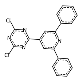 Clc1nc(Cl)nc(-c2cc(-c3ccccc3)nc(-c3ccccc3)c2)n1